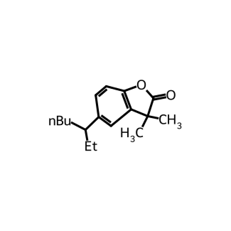 CCCCC(CC)c1ccc2c(c1)C(C)(C)C(=O)O2